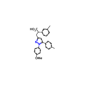 COc1ccc(-n2nc(CC(C(=O)O)c3cccc(C)c3)cc2-c2ccc(C)cc2)cc1